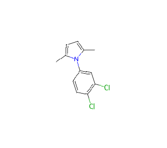 Cc1ccc(C)n1-c1ccc(Cl)c(Cl)c1